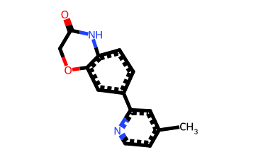 Cc1ccnc(-c2ccc3c(c2)OCC(=O)N3)c1